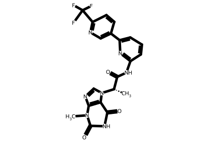 C[C@@H](C(=O)Nc1cccc(-c2ccc(C(F)(F)F)nc2)n1)n1cnc2c1c(=O)[nH]c(=O)n2C